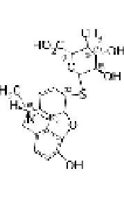 C[C@H]1[C@H](O)[C@@H](O)C(S[C@@H]2C=CC3[C@H]4Cc5ccc(O)c6c5[C@@]3(CCN4C)C2O6)O[C@@H]1C(=O)O